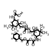 CC1(C)CC(NC(=O)OI)CC(C)(CNC(=O)NCC2(C)CC(NC(=O)OC(=O)OCc3ccccc3)CC(C)(C)C2)C1